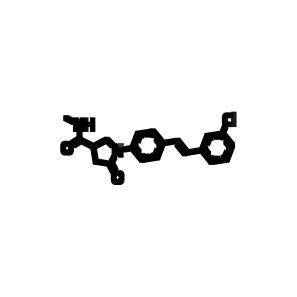 CNC(=O)C1CC(=O)N(c2ccc(C=Cc3cccc(Cl)c3)cc2)C1